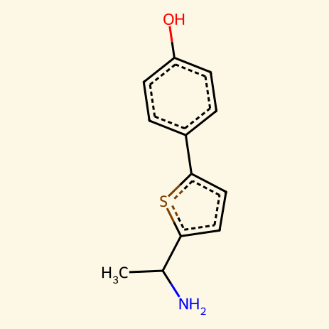 CC(N)c1ccc(-c2ccc(O)cc2)s1